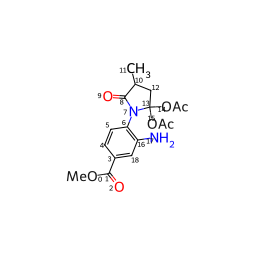 COC(=O)c1ccc(N2C(=O)C(C)CC2(OC(C)=O)OC(C)=O)c(N)c1